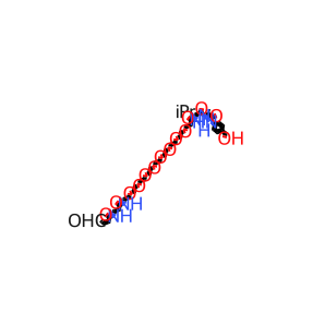 CC(C)[C@H](NC(=O)CCOCCOCCOCCOCCOCCOCCOCCOCCNC(=O)CCNC(=O)/C=C\C=O)C(=O)N[C@@H](C)C(=O)Nc1ccc(CO)cc1